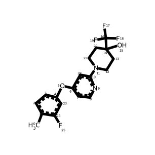 Cc1ccc(Oc2ccnc(N3CCC(O)(C(F)(F)F)CC3)c2)cc1F